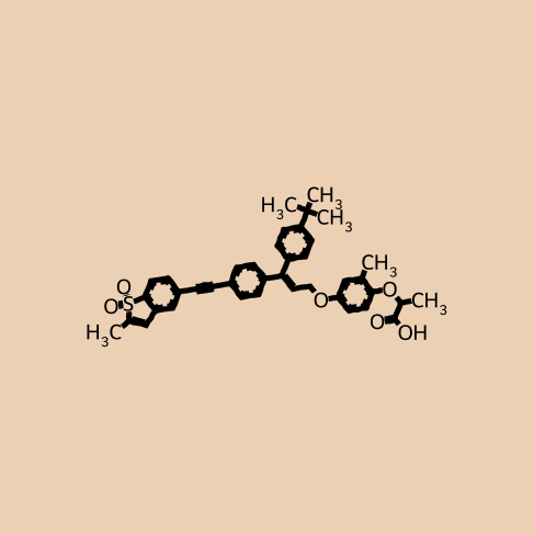 CC1=Cc2cc(C#Cc3ccc(C(=CCOc4ccc(OC(C)C(=O)O)c(C)c4)c4ccc(C(C)(C)C)cc4)cc3)ccc2S1(=O)=O